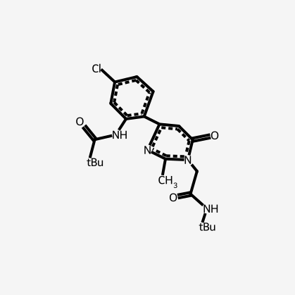 Cc1nc(-c2ccc(Cl)cc2NC(=O)C(C)(C)C)cc(=O)n1CC(=O)NC(C)(C)C